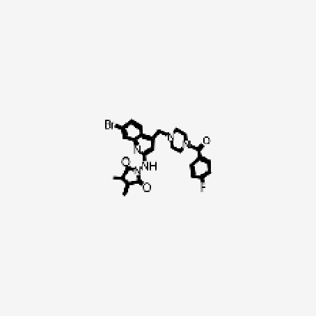 CC1C(=O)N(Nc2cc(CN3CCN(C(=O)c4ccc(F)cc4)CC3)c3ccc(Br)cc3n2)C(=O)C1C